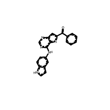 O=C(c1ccccc1)c1cc2ncnc(Nc3ccc4[nH]ccc4c3)c2s1